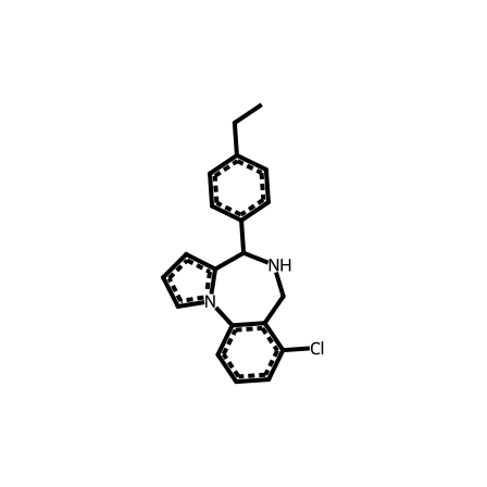 CCc1ccc(C2NCc3c(Cl)cccc3-n3cccc32)cc1